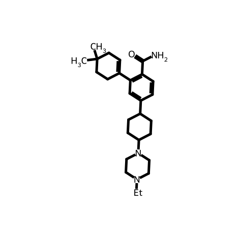 CCN1CCN(C2CCC(c3ccc(C(N)=O)c(C4=CCC(C)(C)CC4)c3)CC2)CC1